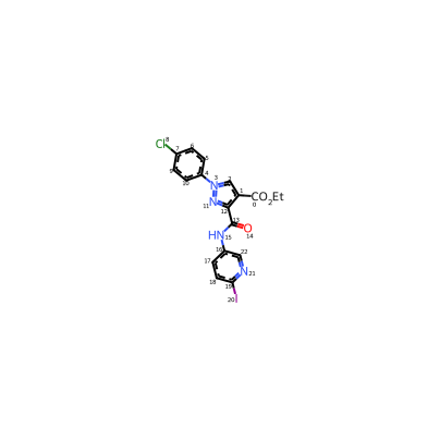 CCOC(=O)c1cn(-c2ccc(Cl)cc2)nc1C(=O)Nc1ccc(I)nc1